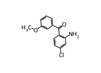 COc1cccc(C(=O)c2ccc(Cl)cc2N)c1